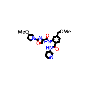 COCc1ccc(C(=O)Nc2cccnc2)c(NC(=O)c2coc(N3CC[C@H](OC)C3)n2)c1